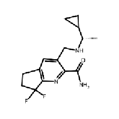 C[C@H](NCc1cc2c(nc1C(N)=O)C(F)(F)CC2)C1CC1